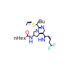 C/C=C\SC(C1=NCC(C(=N)/C=C\CC(F)F)=C2CC(NC(=O)CCCCCC)CN12)C(C)CC